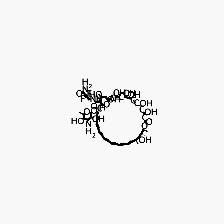 C[C@@H]1OC(=O)CC(O)CC(O)CCC(O)C(O)C[C@H](O)CC2(O)C[C@H](O)C(C(=O)NCC(F)(F)C(N)=O)[C@H](CC(O[C@@H]3O[C@H](C)[C@@H](O)[C@H](N)[C@@H]3O)/C=C/C=C/C=C/C=C/C=C/C=C/C=C/[C@H](C)C(O)[C@H]1C)O2